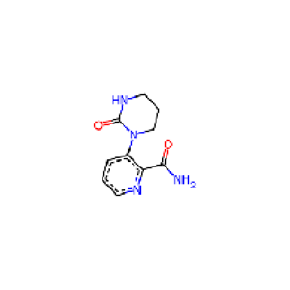 NC(=O)c1ncccc1N1CCCNC1=O